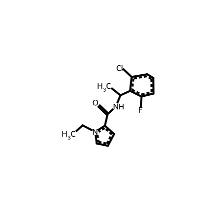 CCn1cccc1C(=O)NC(C)c1c(F)cccc1Cl